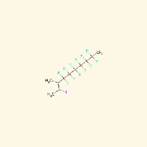 CC(I)C(C)C(F)(F)C(F)(F)C(F)(F)C(F)(F)C(F)(F)C(F)(F)C(F)(F)F